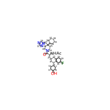 CC(=O)NC(CC(CCc1ccc(O)cc1)Cc1ccc(F)cc1)C(=O)N1CCC(Cn2cncn2)(C2CCCCC2)CC1